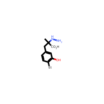 CCc1ccc(CC(C)(NN)C(=O)O)cc1O